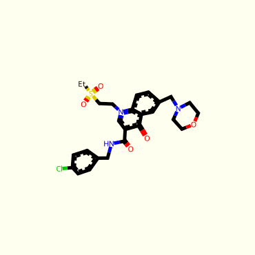 CCS(=O)(=O)CCn1cc(C(=O)NCc2ccc(Cl)cc2)c(=O)c2cc(CN3CCOCC3)ccc21